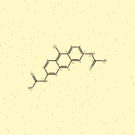 CCCC(=O)Nc1ccc2c(Cl)c3ccc(NC(=O)CCC)cc3nc2c1